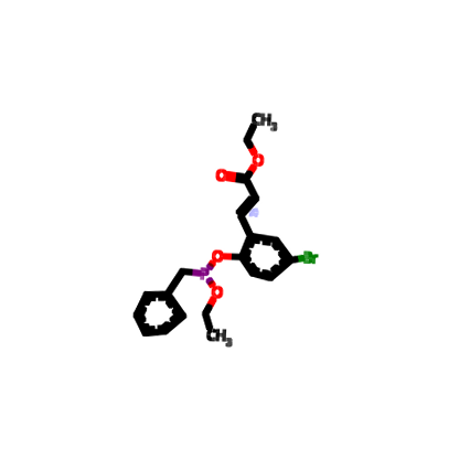 CCOC(=O)/C=C/c1cc(Br)ccc1OP(Cc1ccccc1)OCC